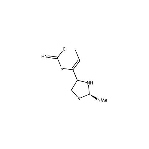 C/C=C(\SC(=N)Cl)C1CS[C@H](NC)N1